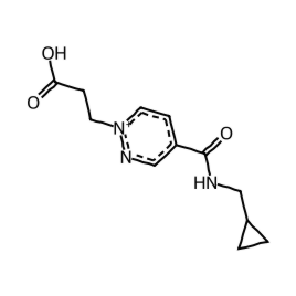 O=C(O)CC[n+]1ccc(C(=O)NCC2CC2)cn1